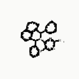 Nc1ncc(F)c(N(C(c2ccccc2)c2ccccc2)C(c2ccccc2)c2ccccc2)n1